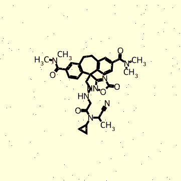 CC(C#N)N(C(=O)CNCCC1(c2nc(=O)o[nH]2)c2ccc(C(=O)N(C)C)cc2CCc2cc(C(=O)N(C)C)ccc21)C1CC1